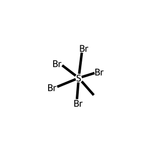 CS(Br)(Br)(Br)(Br)Br